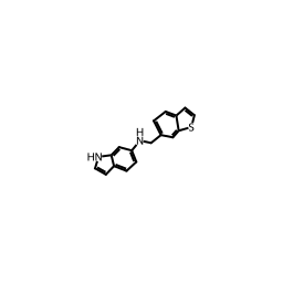 c1cc2ccc(NCc3ccc4ccsc4c3)cc2[nH]1